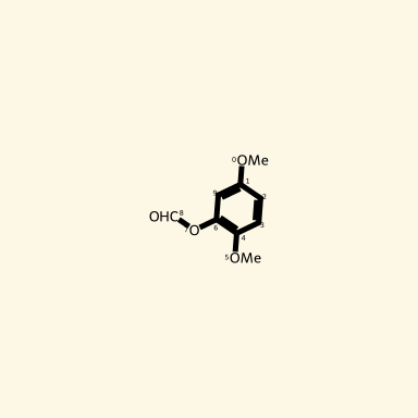 COc1ccc(OC)c(OC=O)c1